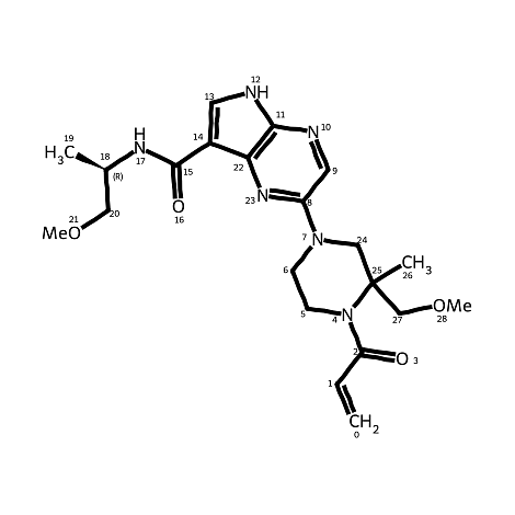 C=CC(=O)N1CCN(c2cnc3[nH]cc(C(=O)N[C@H](C)COC)c3n2)CC1(C)COC